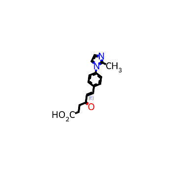 Cc1nccn1-c1ccc(/C=C/C(=O)CCC(=O)O)cc1